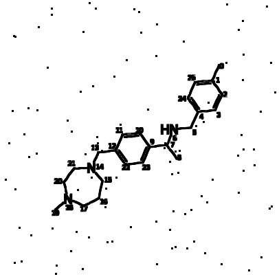 [CH2]c1ccc(CNC(C)c2ccc(CN3CCCN(C)CC3)cc2)cc1